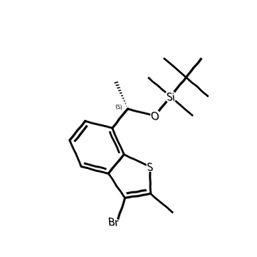 Cc1sc2c([C@H](C)O[Si](C)(C)C(C)(C)C)cccc2c1Br